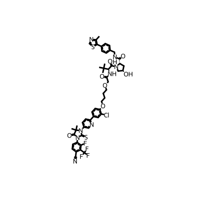 Cc1ncsc1-c1ccc(CNC(=O)[C@@H]2C[C@@H](O)CN2C(=O)[C@@H](NC(=O)COCCCCOc2ccc(-c3ccc(N4C(=S)N(c5ccc(C#N)c(C(F)(F)F)c5F)C(=O)C4(C)C)cn3)cc2Cl)C(C)(C)C)cc1